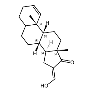 C[C@]12C=CCCC1CC[C@@H]1[C@H]2CC[C@]2(C)C(=O)C(=CO)C[C@@H]12